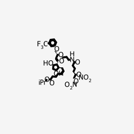 CC(C)OC(=O)CCC/C=C\C[C@@H]1[C@@H](/C=C/[C@H](COc2cccc(C(F)(F)F)c2)OC(=O)CCNC(=O)CCC[C@H](CO[N+](=O)[O-])O[N+](=O)[O-])[C@H](O)C[C@@H]1O